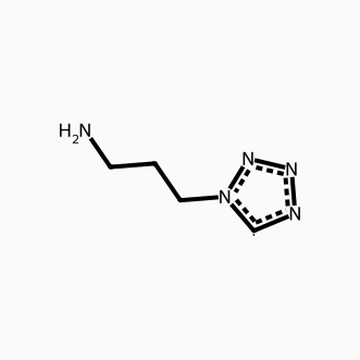 NCCCn1[c]nnn1